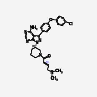 CN(C)C/C=C/C(=O)N1CCC[C@H](n2nc(-c3ccc(Oc4ccc(Cl)cc4)cc3)c3c(N)ncnc32)C1